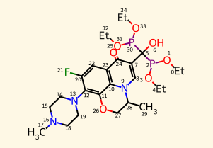 CCOP(OCC)C(O)(c1cn2c3c(c(N4CCN(C)CC4)c(F)cc3c1=O)OCC2C)P(OCC)OCC